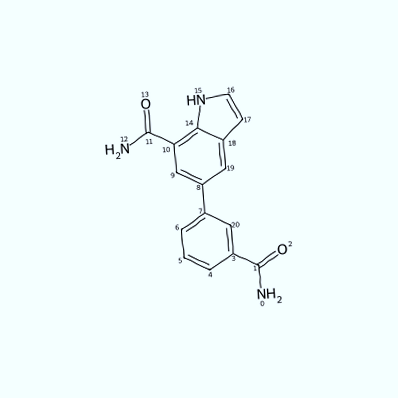 NC(=O)c1cccc(-c2cc(C(N)=O)c3[nH]ccc3c2)c1